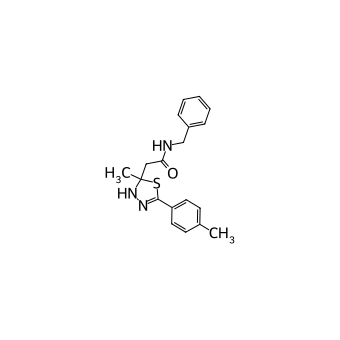 Cc1ccc(C2=NNC(C)(CC(=O)NCc3ccccc3)S2)cc1